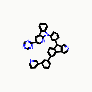 c1cncc(-c2cccc(-c3ccc4c(c3)-c3ccncc3C4c3cccc(-n4c5ccccc5c5cc(-c6ncncn6)cnc54)c3)c2)c1